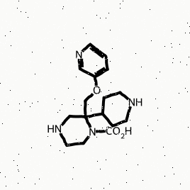 O=C(O)N1CCNCC1(COc1cccnc1)C1CCNCC1